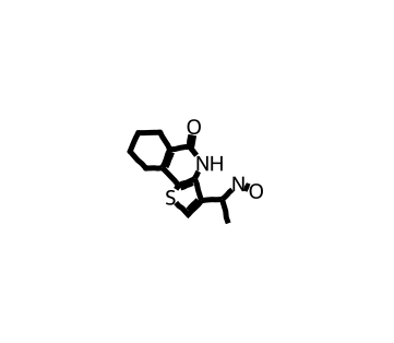 CC(N=O)c1csc2c3c(c(=O)[nH]c12)CCCC3